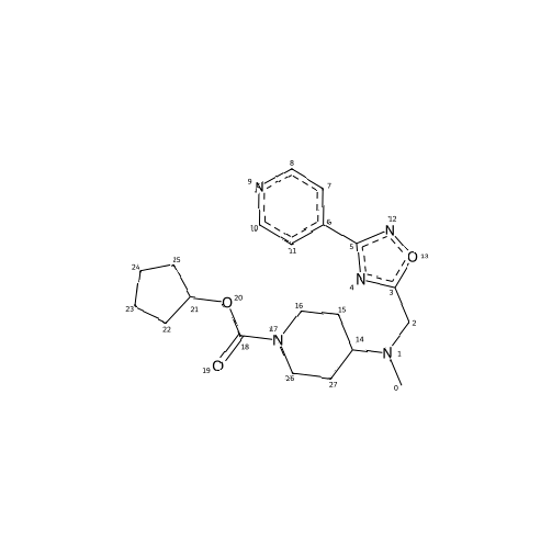 CN(Cc1nc(-c2ccncc2)no1)C1CCN(C(=O)OC2CCCC2)CC1